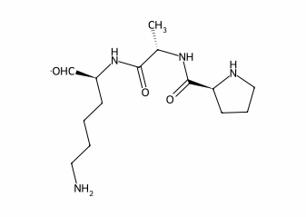 C[C@H](NC(=O)[C@@H]1CCCN1)C(=O)N[C@H]([C]=O)CCCCN